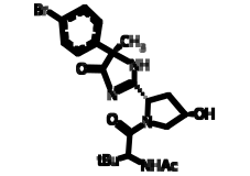 CC(=O)NC(C(=O)N1C[C@H](O)C[C@H]1C1=NC(=O)[C@](C)(c2ccc(Br)cc2)N1)C(C)(C)C